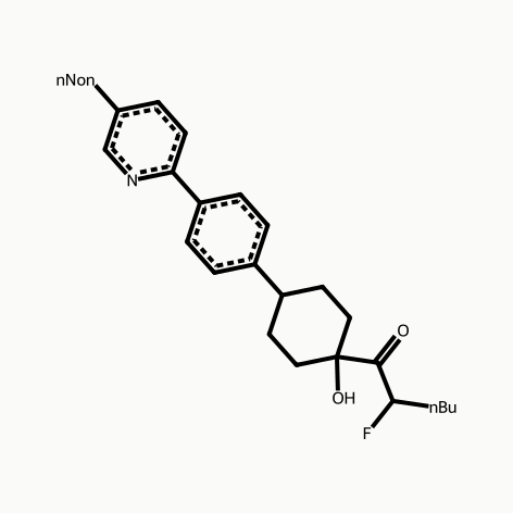 CCCCCCCCCc1ccc(-c2ccc(C3CCC(O)(C(=O)C(F)CCCC)CC3)cc2)nc1